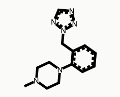 CN1CCN(c2ccccc2Cn2ncnn2)CC1